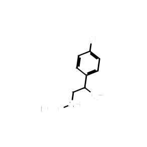 O=C(O)NCC(O)c1ccc(Cl)cc1